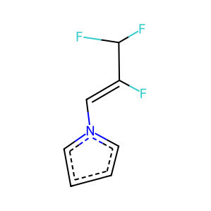 FC(=Cn1cccc1)C(F)F